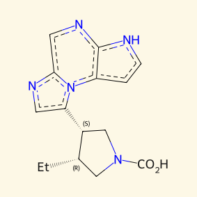 CC[C@H]1CN(C(=O)O)C[C@H]1c1cnc2cnc3[nH]ccc3n12